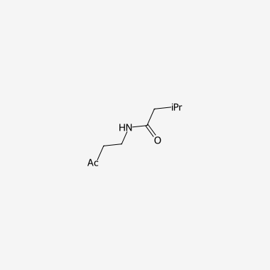 CC(=O)CCNC(=O)CC(C)C